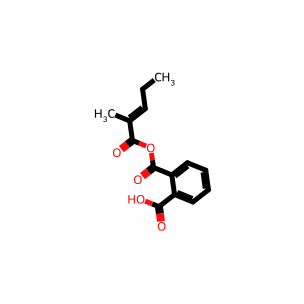 CCC=C(C)C(=O)OC(=O)c1ccccc1C(=O)O